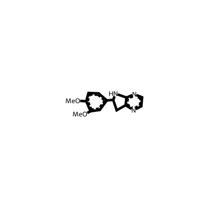 COc1ccc(C2Cc3nccnc3N2)cc1OC